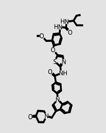 CCC(CC)NC(=O)Nc1ccc(Oc2cnc(NC(=O)c3ccc(-n4cc(CN5CCC(=O)CC5)c5ccccc54)cc3)s2)c(COC)c1